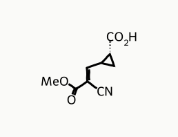 COC(=O)/C(C#N)=C/C1C[C@H]1C(=O)O